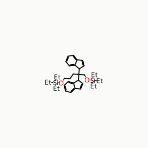 CC[Si](CC)(CC)OCCCC(CO[Si](CC)(CC)CC)(C1C=Cc2ccccc21)C1C=Cc2ccccc21